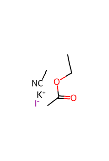 CC#N.CCOC(C)=O.[I-].[K+]